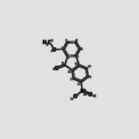 COc1cccc2c1C(=O)c1cc([N+](=O)[O-])ccc1-2